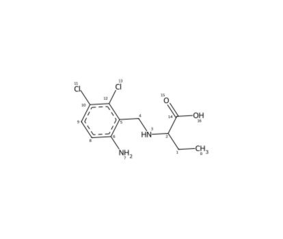 CCC(NCc1c(N)ccc(Cl)c1Cl)C(=O)O